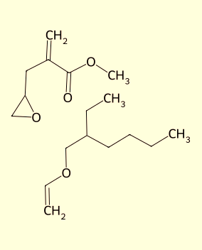 C=C(CC1CO1)C(=O)OC.C=COCC(CC)CCCC